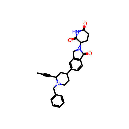 CC#CC1CC(c2ccc3c(c2)CN(C2CCC(=O)NC2=O)C3=O)CCN1Cc1ccccc1